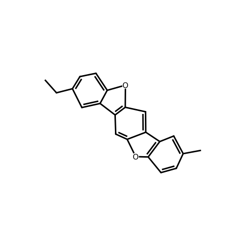 CCc1ccc2oc3cc4c(cc3c2c1)oc1ccc(C)cc14